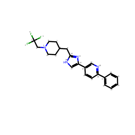 FC(F)(F)CN1CCC(Cc2nc(-c3ccc(-c4ccccc4)nc3)c[nH]2)CC1